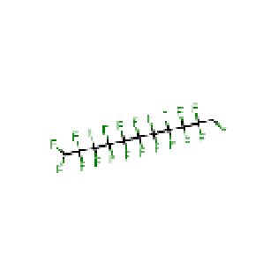 FCC(F)(F)C(F)(F)C(F)(F)C(F)(F)C(F)(F)C(F)(F)C(F)(F)C(F)(F)C(F)(F)[C](F)F